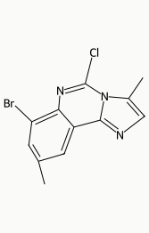 Cc1cc(Br)c2nc(Cl)n3c(C)cnc3c2c1